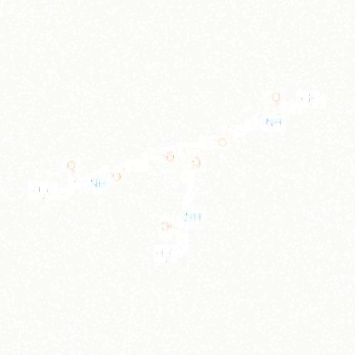 C=CC(=O)NCCCOCC(COCCCOCNC(=O)C=C)OCCCNC(=O)C=C